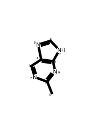 Cc1n[c]c2nc[nH]c2n1